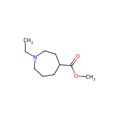 CCN1CCCC(C(=O)OC)CC1